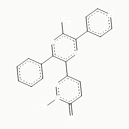 CC(C)n1nc(-c2nc(-c3ccncc3)c(N)nc2-c2ccccc2)ccc1=O